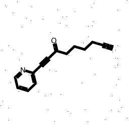 C#CCCCCC(=O)C#Cc1ccccn1